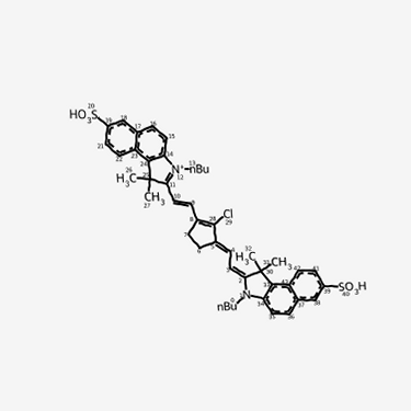 CCCCN1/C(=C/C=C2\CCC(/C=C/C3=[N+](CCCC)c4ccc5cc(S(=O)(=O)O)ccc5c4C3(C)C)=C2Cl)C(C)(C)c2c1ccc1cc(S(=O)(=O)O)ccc21